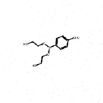 O=Cc1ccc(N(OCCO)OCCO)cc1